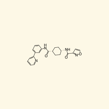 O=C(N[C@H]1CC[C@@H](C(=O)Nc2cccc(-c3ccccn3)c2)CC1)c1ccon1